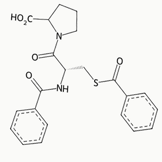 O=C(N[C@@H](CSC(=O)c1ccccc1)C(=O)N1CCCC1C(=O)O)c1ccccc1